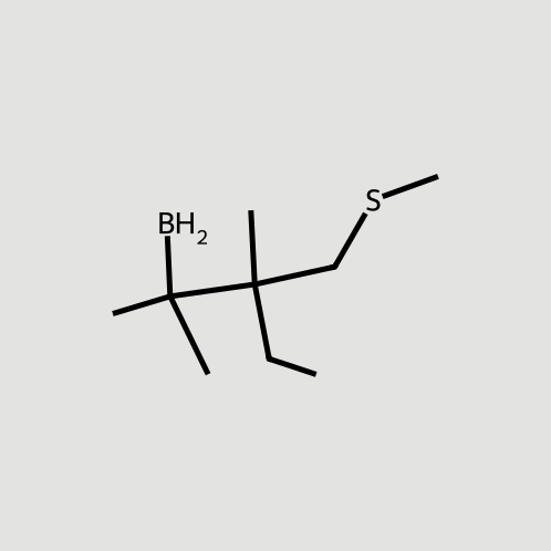 BC(C)(C)C(C)(CC)CSC